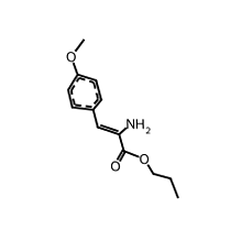 CCCOC(=O)/C(N)=C/c1ccc(OC)cc1